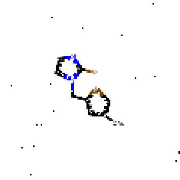 CC(=O)Oc1csc(Cn2ccnc2S)c1